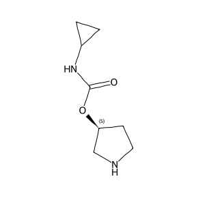 O=C(NC1CC1)O[C@H]1CCNC1